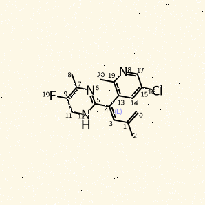 C=C(C)/C=C(/C1=NC(C)=C(F)CN1)c1cc(Cl)cnc1C